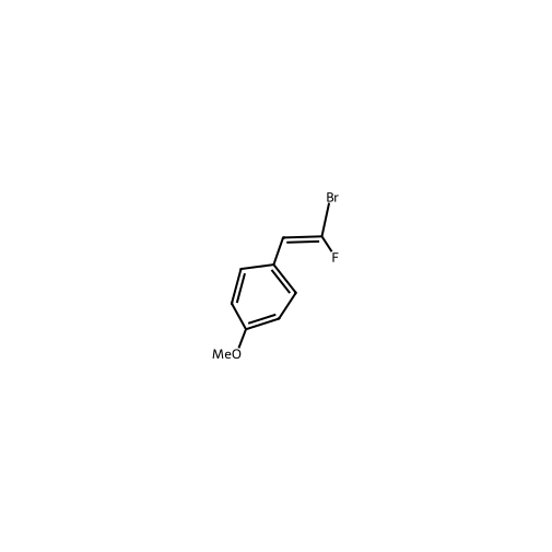 COc1ccc(/C=C(\F)Br)cc1